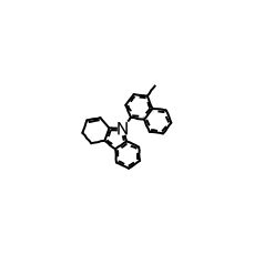 Cc1ccc(-n2c3c(c4ccccc42)CCC=C3)c2ccccc12